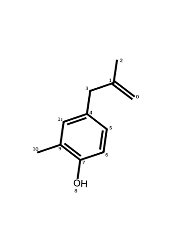 C=C(C)Cc1ccc(O)c(C)c1